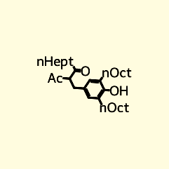 CCCCCCCCc1cc(CC(C(C)=O)C(=O)CCCCCCC)cc(CCCCCCCC)c1O